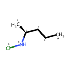 CCC[C@H](C)NCl